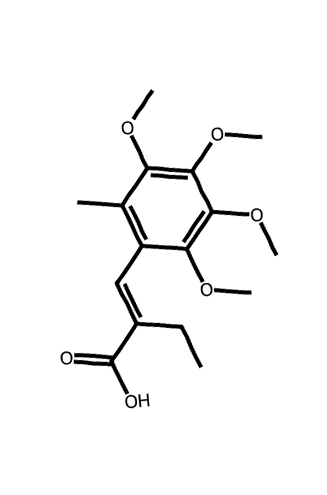 CCC(=Cc1c(C)c(OC)c(OC)c(OC)c1OC)C(=O)O